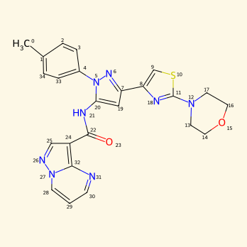 Cc1ccc(-n2nc(-c3csc(N4CCOCC4)n3)cc2NC(=O)c2cnn3cccnc23)cc1